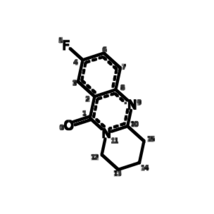 O=c1c2cc(F)ccc2nc2n1CCCC2